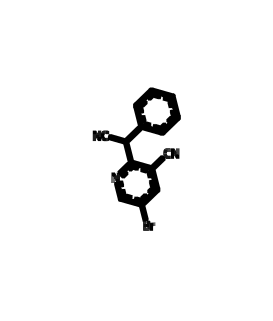 N#Cc1cc(Br)cnc1C(C#N)c1ccccc1